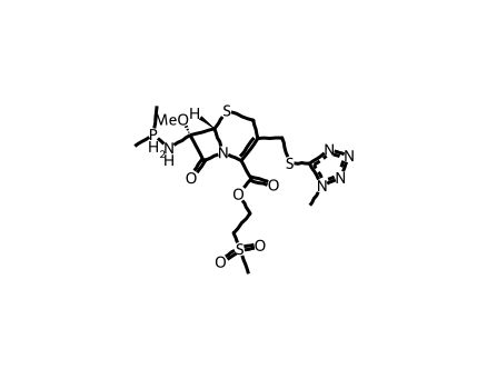 CO[C@@]1(N[PH2](C)C)C(=O)N2C(C(=O)OCCS(C)(=O)=O)=C(CSc3nnnn3C)CS[C@H]21